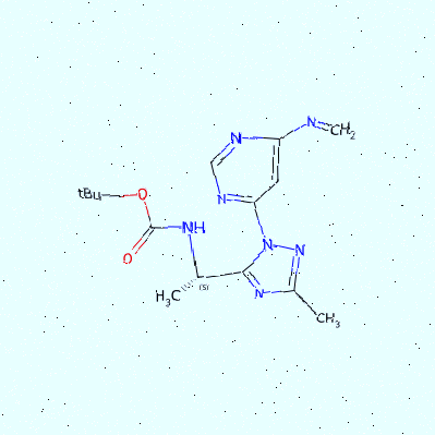 C=Nc1cc(-n2nc(C)nc2[C@H](C)NC(=O)OC(C)(C)C)ncn1